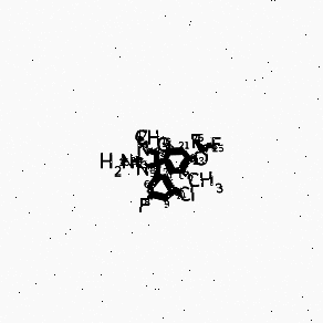 Cc1cc(C2(c3cc(F)cc(Cl)c3)N=C(N)N(C)C2=O)ccc1OC(F)F